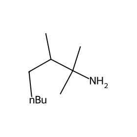 CCCCCC(C)C(C)(C)N